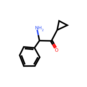 NC(C(=O)C1CC1)c1ccccc1